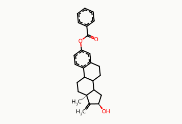 C=C1[C@H](O)CC2C3CCc4cc(OC(=O)c5ccccc5)ccc4C3CC[C@]12C